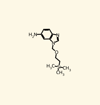 C[Si](C)(C)CCOCn1cnc2ccc(N)cc21